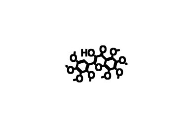 COc1cc(-c2oc3c(OC)c(OC)c(OC)c(OC)c3c(=O)c2O)c(OC)c(OC)c1OC